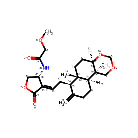 C=C1CC[C@@H]2[C@]3(C)COCO[C@@H]3CC[C@@]2(C)[C@@H]1C/C=C1/C(=O)OC[C@@H]1NC(=O)COC